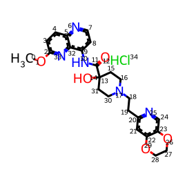 COc1ccc2nccc(NC(=O)C3(O)CCN(CCc4cc5c(cn4)OCCO5)CC3)c2n1.Cl